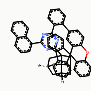 c1ccc2c(c1)Oc1ccc(-c3ccccc3-c3nc(-c4cccc5ccccc45)nc(C45CC6C[C@@H]7C[C@@H](C4)CC675)n3)cc1C21c2ccccc2-c2ccccc21